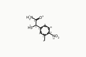 Cc1cc(C(S)C(N)=O)ccc1[N+](=O)[O-]